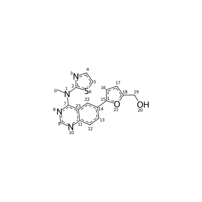 CN(c1nccs1)c1ncnc2ccc(-c3ccc(CO)o3)cc12